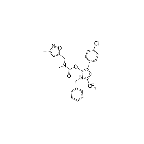 Cc1cc(CN(C)C(=O)Oc2c(-c3ccc(Cl)cc3)cc(C(F)(F)F)n2Cc2ccccc2)on1